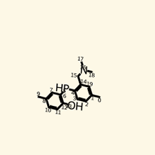 Cc1ccc(Pc2cc(C)ccc2O)c(CN(C)C)c1